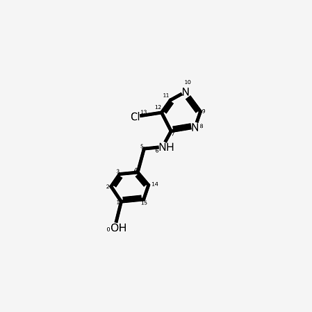 Oc1ccc(CNc2ncncc2Cl)cc1